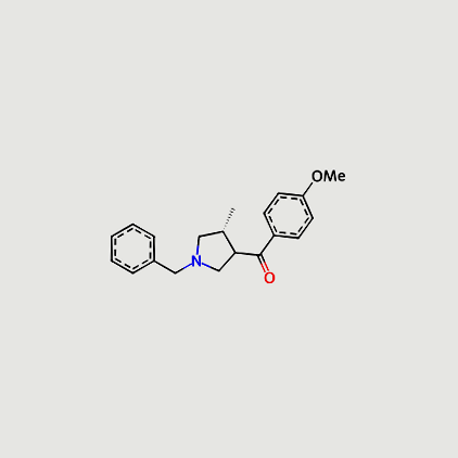 COc1ccc(C(=O)C2CN(Cc3ccccc3)C[C@@H]2C)cc1